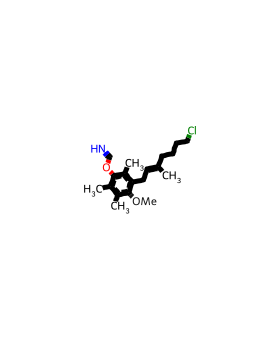 COc1c(C)c(C)c(OC=N)c(C)c1C/C=C(\C)CCCCCl